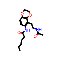 CCCCCC(=O)Nc1ccc2c(c1CCNC(C)=O)OCCO2